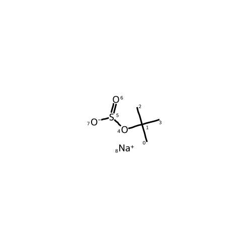 CC(C)(C)OS(=O)[O-].[Na+]